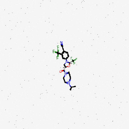 CC(C)N1CCN(C(=O)[C@@H]2CN(c3ccc(C#N)c(C(F)(F)F)c3)[C@@H](C(F)(F)F)O2)CC1